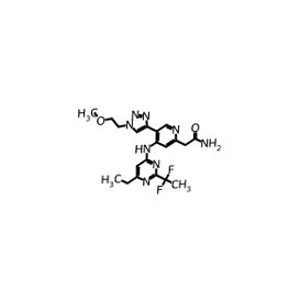 CCc1cc(Nc2cc(CC(N)=O)ncc2-c2cn(CCOC)nn2)nc(C(C)(F)F)n1